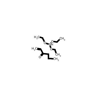 C=CC(=O)CCC.CCO[SiH](OCC)OCC